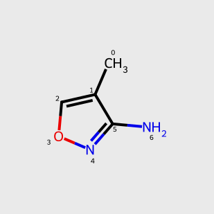 Cc1conc1N